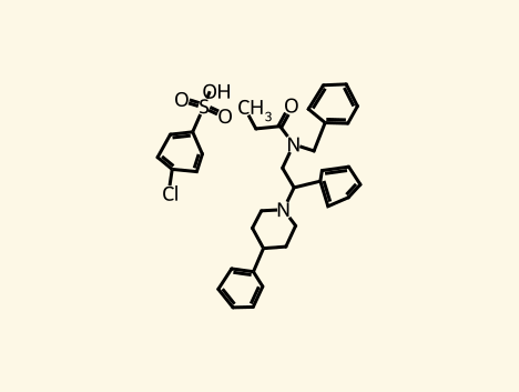 CCC(=O)N(Cc1ccccc1)CC(c1ccccc1)N1CCC(c2ccccc2)CC1.O=S(=O)(O)c1ccc(Cl)cc1